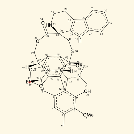 CC[C@@H]1Cc2cc(C)c(OC)c(O)c2[C@@H](N(C)C)[C@H]2[C@H]3SC[C@]4(NCCc5c4[nH]c4ccccc54)C(=O)OC[C@H](c4c5c(c(C)c(OC(C)=O)c43)OCO5)N12